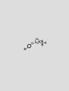 C[C@]1(CS(=O)(=O)C2CC2)COC[C@@H](COc2ccc(Br)cc2)O1